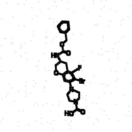 O=C(N[C@@H]1COc2cc(N3CCN(C(=O)O)CC3)c(Br)c(F)c2C1)OCc1ccccc1